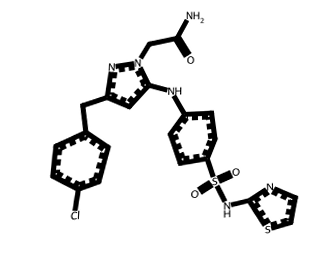 NC(=O)Cn1nc(Cc2ccc(Cl)cc2)cc1Nc1ccc(S(=O)(=O)Nc2nccs2)cc1